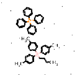 CCCC[B-](c1ccc(C)cc1)(c1ccc(C)cc1)c1ccc(C)cc1.c1ccc([P+](c2ccccc2)(c2ccccc2)c2ccccc2)cc1